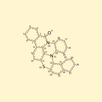 O=c1c2ccccc2c2ccc3c4c2n1-c1ccccc1N4c1c(ccc2ccccc12)S3